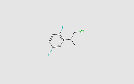 C[C](CCl)c1cc(F)ccc1F